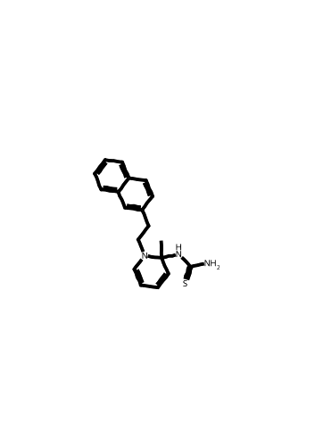 CC1(NC(N)=S)C=CC=CN1CCc1ccc2ccccc2c1